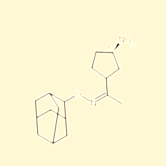 CC(=NOC1C2CC3CC(C2)CC1C3)C1CC[C@@H](N)C1